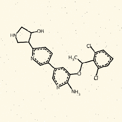 CC(Oc1cc(-c2ccc(C3CNCC3O)nc2)cnc1N)c1c(Cl)cccc1Cl